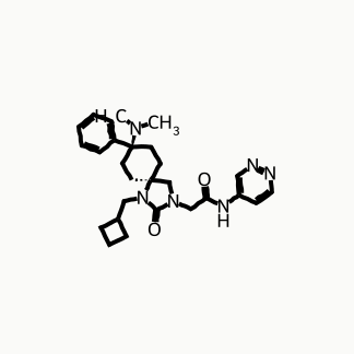 CN(C)[C@]1(c2ccccc2)CC[C@]2(CC1)CN(CC(=O)Nc1ccnnc1)C(=O)N2CC1CCC1